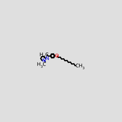 CCCCCCCCCCCCOc1ccc(C(C)/N=C2\CCCCN2CC)cc1